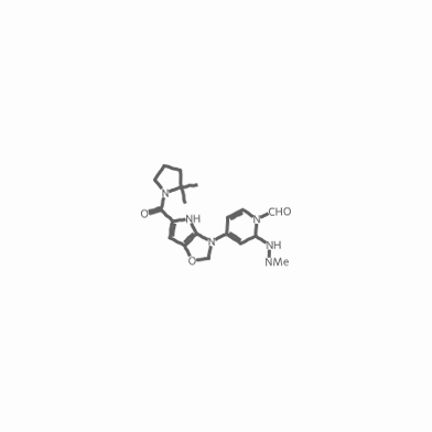 CNNC1C=C(N2COc3cc(C(=O)N4CCCC4(C)C)[nH]c32)C=CN1C=O